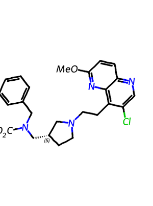 COc1ccc2ncc(Cl)c(CCN3CC[C@H](CN(Cc4ccccc4)C(=O)O)C3)c2n1